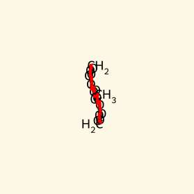 C=CC(=O)OCCOC(=O)CCCCCOc1ccc(C(=O)Oc2ccc(OC(=O)c3ccc(OCCCCCC(=O)OCCOC(=O)C=C)cc3)c(C)c2)cc1